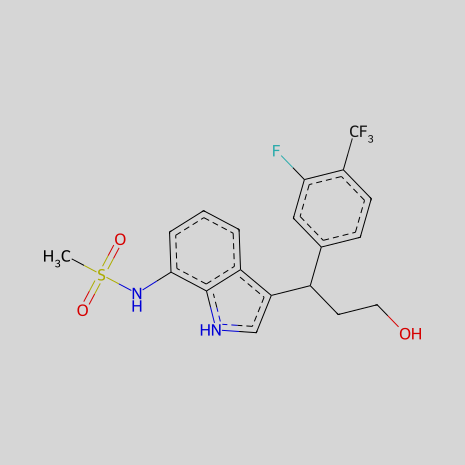 CS(=O)(=O)Nc1cccc2c(C(CCO)c3ccc(C(F)(F)F)c(F)c3)c[nH]c12